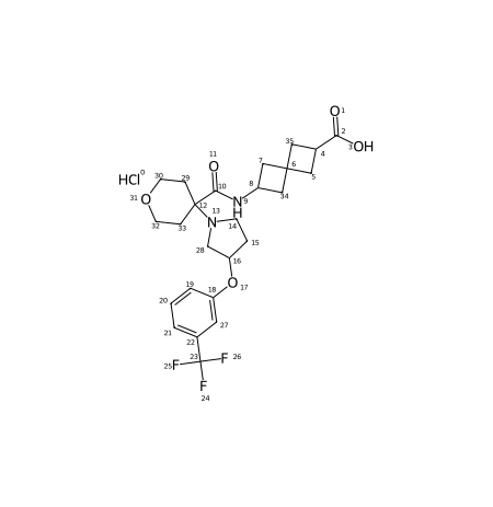 Cl.O=C(O)C1CC2(CC(NC(=O)C3(N4CCC(Oc5cccc(C(F)(F)F)c5)C4)CCOCC3)C2)C1